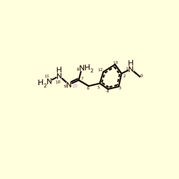 CNc1ccc(C/C(N)=N/NN)cc1